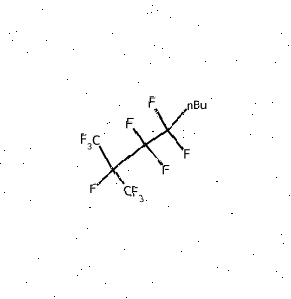 [CH2]CCCC(F)(F)C(F)(F)C(F)(C(F)(F)F)C(F)(F)F